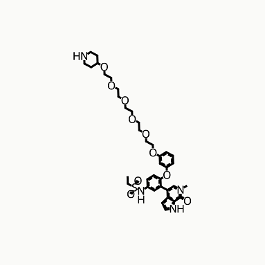 CCS(=O)(=O)Nc1ccc(Oc2cccc(OCCOCCOCCOCCOCCOC3CCNCC3)c2)c(-c2cn(C)c(=O)c3[nH]ccc23)c1